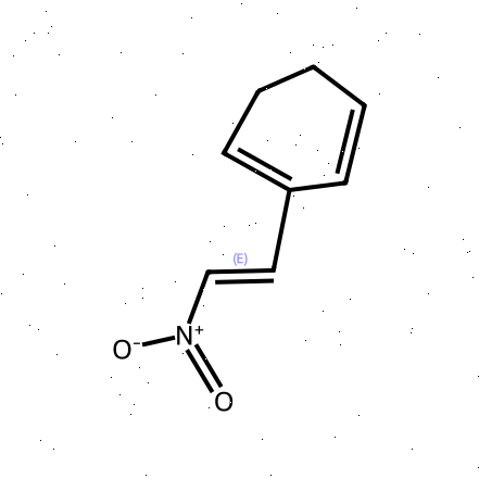 O=[N+]([O-])/C=C/C1=CCCC=C1